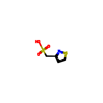 O=S(=O)(O)Cc1ccsn1